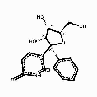 O=c1ccn([C@]2(c3ccccc3)O[C@H](CO)[C@@H](O)[C@H]2O)c(=O)[nH]1